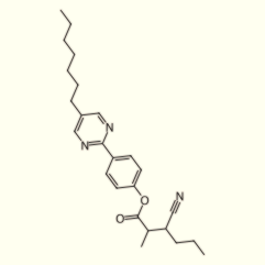 CCCCCCCc1cnc(-c2ccc(OC(=O)C(C)C(C#N)CCC)cc2)nc1